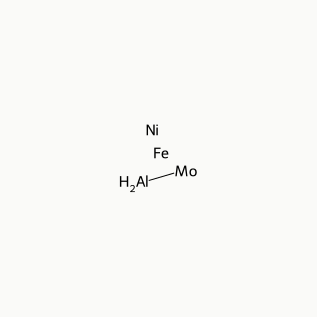 [AlH2][Mo].[Fe].[Ni]